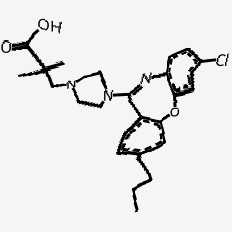 CCCc1ccc2c(c1)Oc1cc(Cl)ccc1N=C2N1CCN(CC(C)(C)C(=O)O)CC1